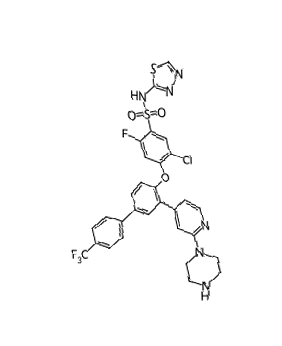 O=S(=O)(Nc1nncs1)c1cc(Cl)c(Oc2ccc(-c3ccc(C(F)(F)F)cc3)cc2-c2ccnc(N3CCNCC3)c2)cc1F